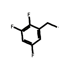 [CH2]Cc1cc(F)cc(F)c1F